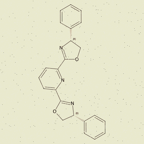 c1ccc([C@@H]2COC(c3cccc(C4=N[C@H](c5ccccc5)CO4)n3)=N2)cc1